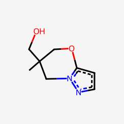 CC1(CO)COc2ccnn2C1